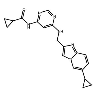 O=C(Nc1cc(NCc2cn3cc(C4CC4)ccc3n2)ncn1)C1CC1